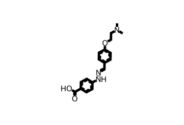 CN(C)CCOc1ccc(/C=N/Nc2ccc(C(=O)O)cc2)cc1